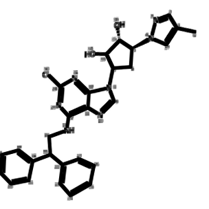 Cc1cnn([C@H]2CC(n3cnc4c(NCC(c5ccccc5)c5ccccc5)nc(Cl)nc43)C(O)[C@@H]2O)c1